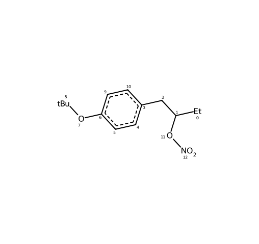 CCC(Cc1ccc(OC(C)(C)C)cc1)O[N+](=O)[O-]